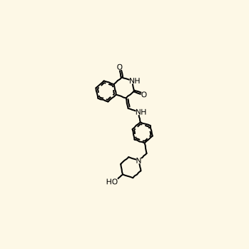 O=C1NC(=O)c2ccccc2C1=CNc1ccc(CN2CCC(O)CC2)cc1